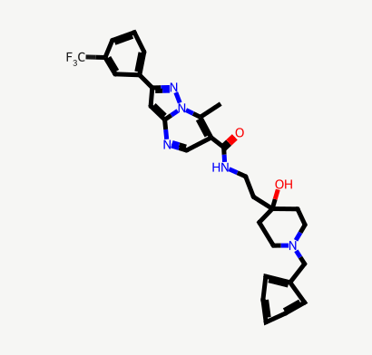 Cc1c(C(=O)NCCC2(O)CCN(Cc3ccccc3)CC2)cnc2cc(-c3cccc(C(F)(F)F)c3)nn12